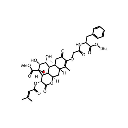 COC(=O)C12OC[C@]34C([C@@H](O)[C@@H]1O)[C@@]1(C)CC(=O)C(OCC(=O)NC(Cc5ccccc5)C(=O)OC(C)(C)C)=C(C)[C@@H]1C[C@H]3OC(=O)[C@H](OC(=O)C=C(C)C)[C@@H]24